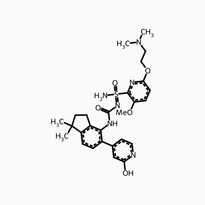 COc1ccc(OCCN(C)C)nc1S(N)(=O)=NC(=O)Nc1c(-c2ccnc(O)c2)ccc2c1CCC2(C)C